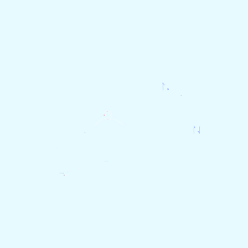 Nc1ncccc1OC(F)(F)CBr